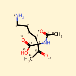 CC(=O)N[C@](CCCCN)(C(C)=O)C(=O)O